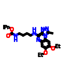 CCOc1cc2nc(NCCCCNC(=O)OC(C)C)c3nnc(C)n3c2cc1OCC